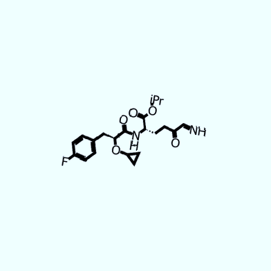 CC(C)OC(=O)[C@H](CCC(=O)C=N)NC(=O)[C@H](Cc1ccc(F)cc1)OC1CC1